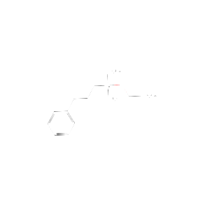 COCO[Si](CCCc1ccccc1)(OC)OC